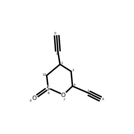 C#CC1CC(C#C)OS(=O)C1